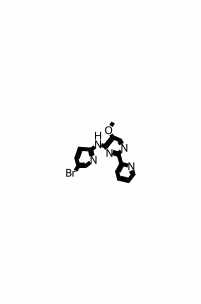 COc1cnc(-c2ccccn2)nc1Nc1ccc(Br)cn1